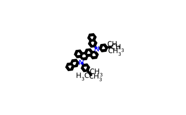 CC(C)(C)c1ccc(N(c2ccc3ccccc3c2)c2cc3c4cccc(N(c5ccc(C(C)(C)C)cc5)c5ccc6ccccc6c5)c4ccc3c3ccccc23)cc1